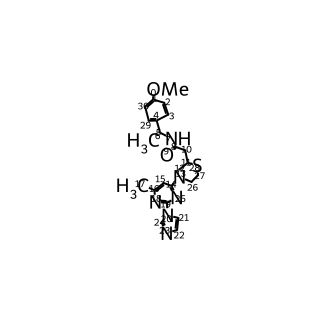 COc1ccc(C(C)NC(=O)CC2CN(c3cc(C)nc(-n4ccnc4)n3)CCS2)cc1